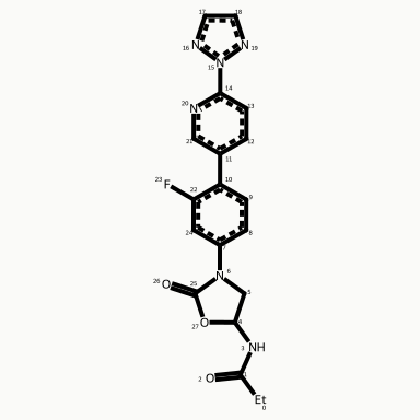 CCC(=O)NC1CN(c2ccc(-c3ccc(-n4nccn4)nc3)c(F)c2)C(=O)O1